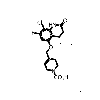 O=C1CCc2c(OCC3=CCN(C(=O)O)CC3)cc(F)c(Cl)c2N1